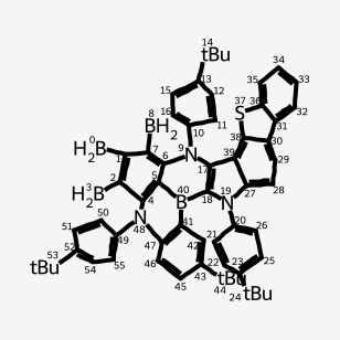 Bc1c(B)c2c3c(c1B)N(c1ccc(C(C)(C)C)cc1)c1c(n(-c4ccc(C(C)(C)C)cc4)c4ccc5c6ccccc6sc5c14)B3c1cc(C(C)(C)C)ccc1N2c1ccc(C(C)(C)C)cc1